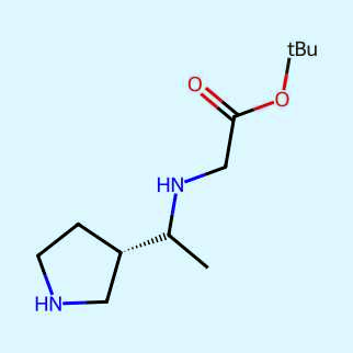 CC(NCC(=O)OC(C)(C)C)[C@H]1CCNC1